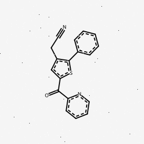 N#CCc1cc(C(=O)c2ccccn2)sc1-c1ccccc1